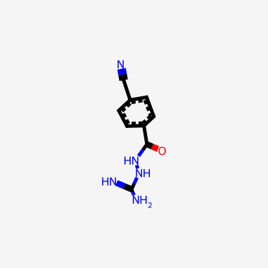 N#Cc1ccc(C(=O)NNC(=N)N)cc1